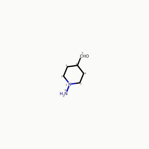 NN1CCC(C=O)CC1